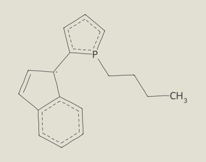 CCCCp1cccc1[C]1C=Cc2ccccc21